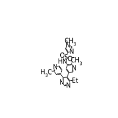 CCc1ncnc(-c2ccnc(C)c2)c1-c1cnc(C)c(NS(=O)(=O)c2cn(C)cn2)c1